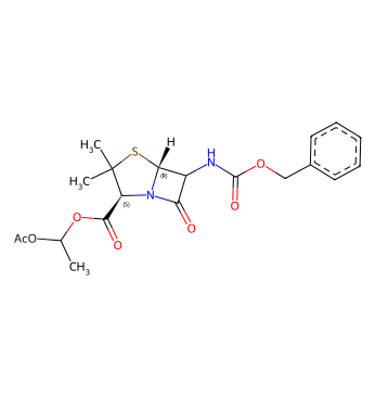 CC(=O)OC(C)OC(=O)[C@@H]1N2C(=O)C(NC(=O)OCc3ccccc3)[C@H]2SC1(C)C